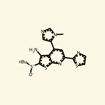 CCCC[S@+]([O-])c1sc2nc(-c3nccs3)cc(-c3cncn3C)c2c1N